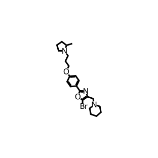 CC1CCCN1CCCOc1ccc(-c2nc(CN3CCCCC3)c(Br)o2)cc1